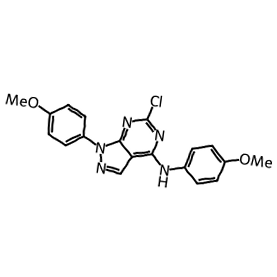 COc1ccc(Nc2nc(Cl)nc3c2cnn3-c2ccc(OC)cc2)cc1